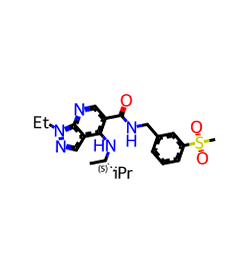 CCn1ncc2c(N[C@@H](C)C(C)C)c(C(=O)NCc3cccc(S(C)(=O)=O)c3)cnc21